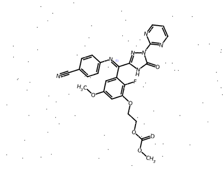 COC(=O)OCCOc1cc(OC)cc(/C(=N\c2ccc(C#N)cc2)c2nn(-c3ncccn3)c(=O)[nH]2)c1F